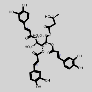 C[C@H](O)CC(=O)O[C@@H](C(=O)O)[C@@H](OC(=O)/C=C/c1ccc(O)c(O)c1)[C@H](OC(=O)/C=C/c1ccc(O)c(O)c1)[C@H](OC(=O)/C=C/c1ccc(O)c(O)c1)C(=O)O